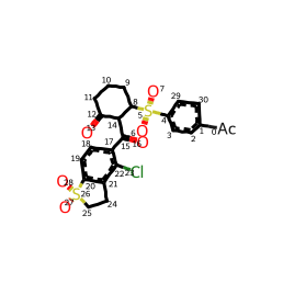 CC(=O)c1ccc(S(=O)(=O)C2CCCC(=O)C2C(=O)c2ccc3c(c2Cl)CCS3(=O)=O)cc1